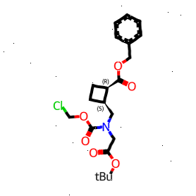 CC(C)(C)OC(=O)CN(C[C@H]1CC[C@H]1C(=O)OCc1ccccc1)C(=O)OCCl